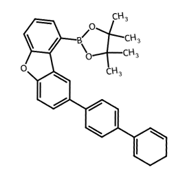 CC1(C)OB(c2cccc3oc4ccc(-c5ccc(C6=CCCC=C6)cc5)cc4c23)OC1(C)C